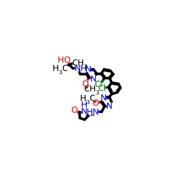 COc1nc(-c2cccc(-c3cccc(-c4cnc(CNCC(C)(C)O)c(OC)n4)c3Cl)c2Cl)cnc1CNC[C@@H]1CCC(=O)N1